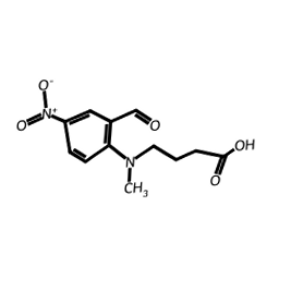 CN(CCCC(=O)O)c1ccc([N+](=O)[O-])cc1C=O